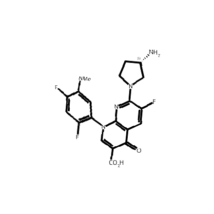 CNc1cc(-n2cc(C(=O)O)c(=O)c3cc(F)c(N4CC[C@H](N)C4)nc32)c(F)cc1F